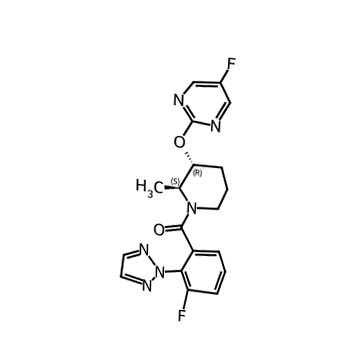 C[C@H]1[C@H](Oc2ncc(F)cn2)CCCN1C(=O)c1cccc(F)c1-n1nccn1